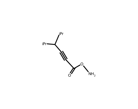 CC(C)C(C#CC(=O)ON)C(C)C